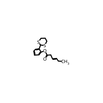 CC/C=C/CC(=O)Oc1ccccc1C1SCCCS1